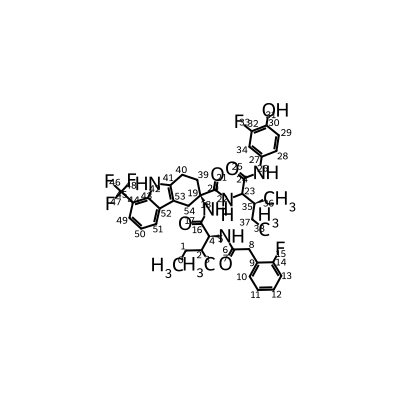 CCC(C)[C@H](NC(=O)Cc1ccccc1F)C(=O)N[C@]1(C(=O)NC(C(=O)Nc2ccc(O)c(F)c2)[C@@H](C)CC)CCc2[nH]c3c(C(F)(F)F)cccc3c2C1